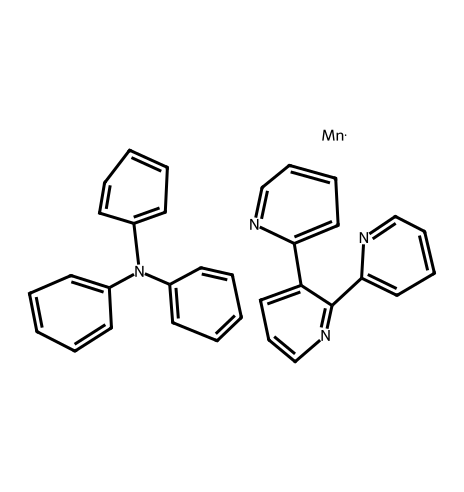 [Mn].c1ccc(-c2cccnc2-c2ccccn2)nc1.c1ccc(N(c2ccccc2)c2ccccc2)cc1